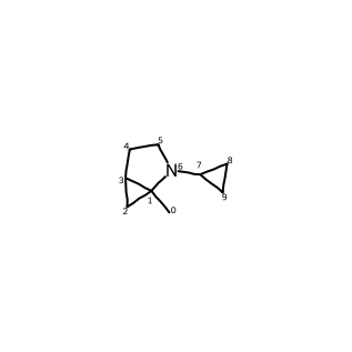 CC12CC1CCN2C1CC1